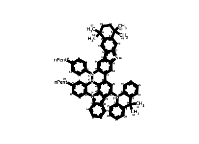 CCCCCc1ccc(N2B3c4cc(CCCCC)ccc4-n4c5ccccc5c5c(N6c7ccccc7C(C)(C)c7ccccc76)cc(c3c54)-c3cc4sc5cc6c(cc5c4cc32)C(C)(C)CCC6(C)C)cc1